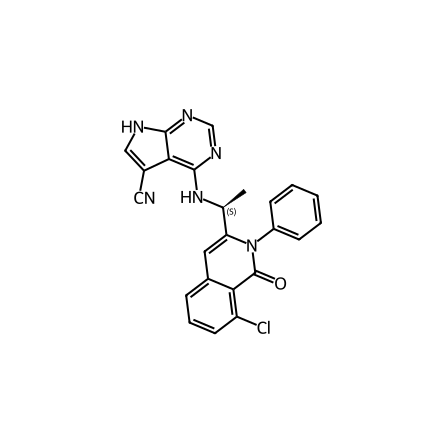 C[C@H](Nc1ncnc2[nH]cc(C#N)c12)c1cc2cccc(Cl)c2c(=O)n1-c1ccccc1